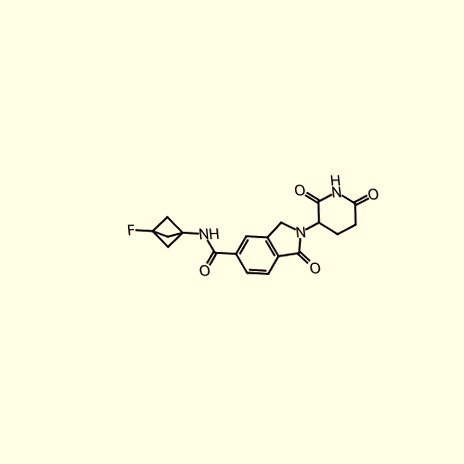 O=C1CCC(N2Cc3cc(C(=O)NC45CC(F)(C4)C5)ccc3C2=O)C(=O)N1